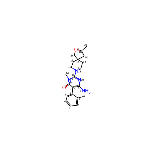 Cc1ccccc1-c1c(N)nc(N2CCC3(CC2)CO[C@@H](C)C3)n(C)c1=O